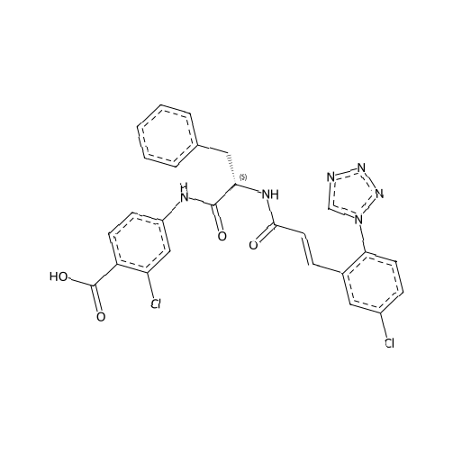 O=C(C=Cc1cc(Cl)ccc1-n1cnnn1)N[C@@H](Cc1ccccc1)C(=O)Nc1ccc(C(=O)O)c(Cl)c1